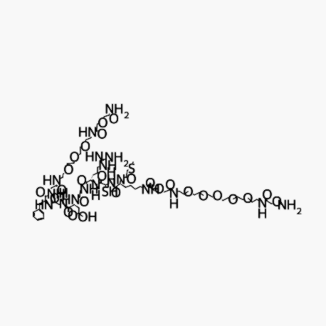 CSCC(=O)N[C@@H](CCCCNC(=O)COCC(=O)NCCOCCOCCOCCOCCOCCNC(=O)CON)C(=O)N[C@@H](S)C(=O)N[C@@H](CCCNC(=N)N)C(=O)NCC(=O)N[C@@H](CC(=O)O)C(=O)NCC(=O)N[C@@H](Cc1ccccc1)C(=O)NCC(=O)NCCOCCOCCOCCNC(=O)COCC(N)=O